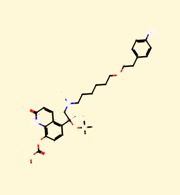 CC(C)(C)OC(=O)Oc1ccc([C@](CN(CCCCCCOCCc2ccc(N)cc2)C(=O)O)(O[Si](C)(C)C(C)(C)C)C(C)(C)C)c2ccc(=O)[nH]c12